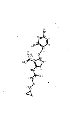 C1CC1.CCNC(=O)Nc1snc(OCc2ccc(Br)cc2F)c1C(N)=O